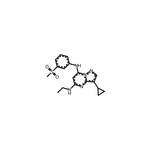 CCNc1cc(Nc2cccc(S(C)(=O)=O)c2)n2ncc(C3CC3)c2n1